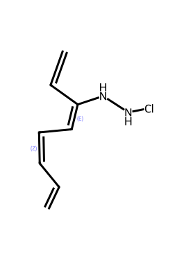 C=C/C=C\C=C(/C=C)NNCl